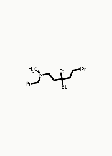 CCC(CC)(CCC(C)C)CCN(C)CC(C)C